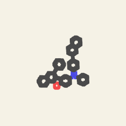 c1ccc(-c2cc3ccccc3c3oc4ccc(N(c5ccccc5)c5ccc(-c6ccc7ccccc7c6)cc5)cc4c23)cc1